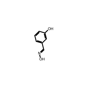 ON=Cc1cccc(O)c1